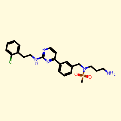 CS(=O)(=O)N(CCCN)Cc1cccc(-c2ccnc(NCCc3ccccc3Cl)n2)c1